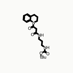 CC(C)(C)OC(=O)NCCCNC(=O)CC(=O)N1CCCc2ccccc21